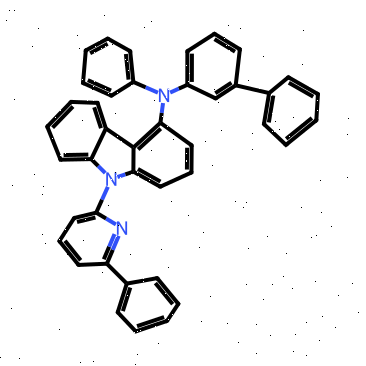 c1ccc(-c2cccc(N(c3ccccc3)c3cccc4c3c3ccccc3n4-c3cccc(-c4ccccc4)n3)c2)cc1